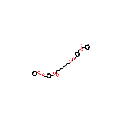 O=C(CCCCCCCCOCOCc1ccc(COC(=O)c2ccccc2)cc1)OCc1ccc(COCOc2ccccc2)cc1